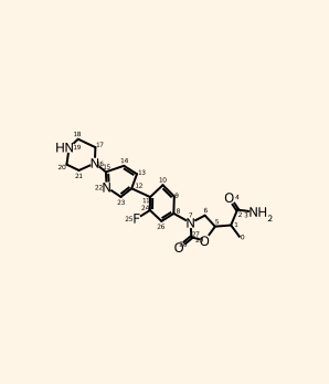 CC(C(N)=O)C1CN(c2ccc(-c3ccc(N4CCNCC4)nc3)c(F)c2)C(=O)O1